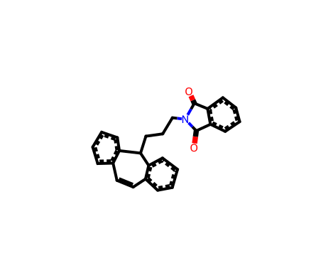 O=C1c2ccccc2C(=O)N1CCCC1c2ccccc2C=Cc2ccccc21